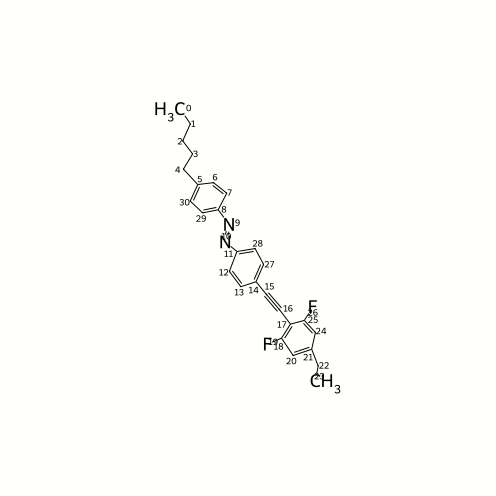 CCCCCc1ccc(N=Nc2ccc(C#Cc3c(F)cc(CC)cc3F)cc2)cc1